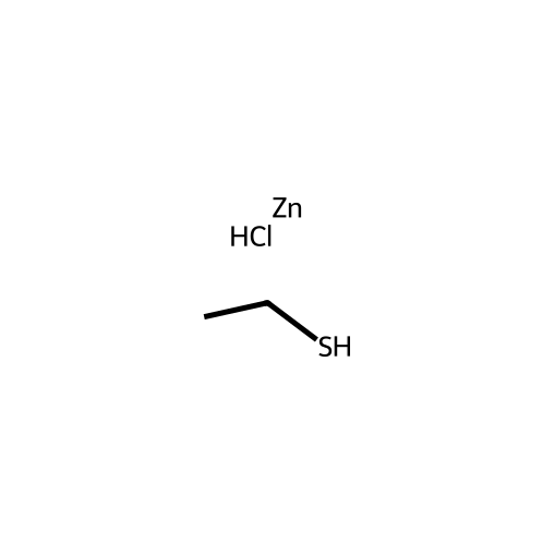 CCS.Cl.[Zn]